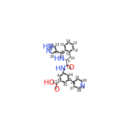 O=C(O)c1cc(NC(=O)C(Cc2ccccc2)NCc2cn[nH]c2)cc(-c2ccncc2)c1